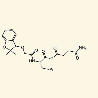 CC(C)C[C@H](NC(=O)COC1c2ccccc2OC1(C)C)C(=O)OC(=O)CCC(N)=O